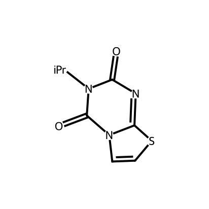 CC(C)n1c(=O)nc2sccn2c1=O